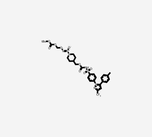 Cc1ccc(-c2cc(C(F)(F)F)nn2-c2ccc(S(=O)(=O)NC(=O)OCC3CCN(/[N+]([O-])=N/OCOC(=O)OC(C)(C)C)CC3)cc2)cc1